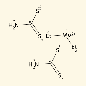 C[CH2][Mo+2][CH2]C.NC(=S)[S-].NC(=S)[S-]